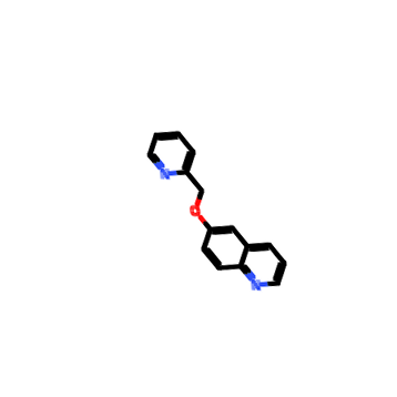 c1ccc(COc2ccc3ncccc3c2)nc1